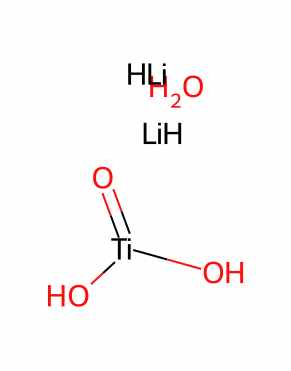 O.[LiH].[LiH].[O]=[Ti]([OH])[OH]